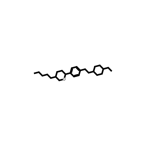 CCCCCC1CCC(c2ccc(CCC3CCC(CC)CC3)cc2)OC1